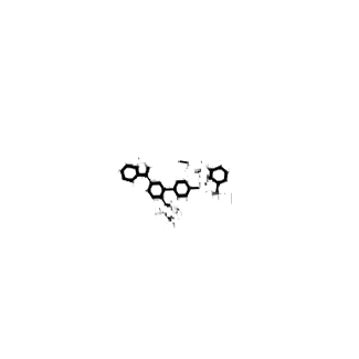 CCOc1nc2cccc(C(=O)O)c2n1Cc1ccc(-c2cc(-c3c[nH]c4ccccc34)ccc2-c2noc(=O)[nH]2)cc1